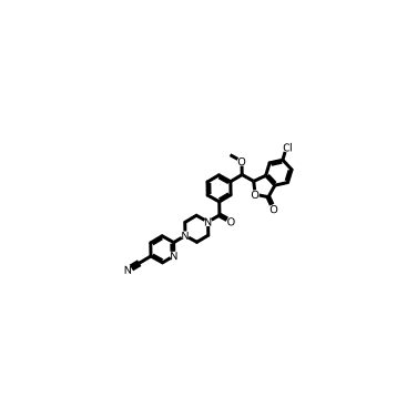 COC(c1cccc(C(=O)N2CCN(c3ccc(C#N)cn3)CC2)c1)C1OC(=O)c2ccc(Cl)cc21